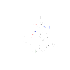 COc1ccc(Cl)cc1-c1ccc2c(c1COc1cc(C)ccc1C)N(C)C(=O)C(C)(C)N2